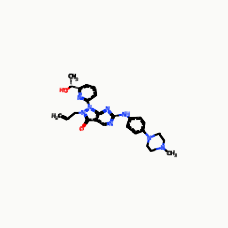 C=CCn1c(=O)c2cnc(Nc3ccc(N4CCN(C)CC4)cc3)nc2n1-c1cccc([C@@H](C)O)n1